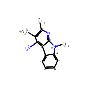 Cc1nc2c(c(N)c1C(=O)O)c1ccccc1n2C